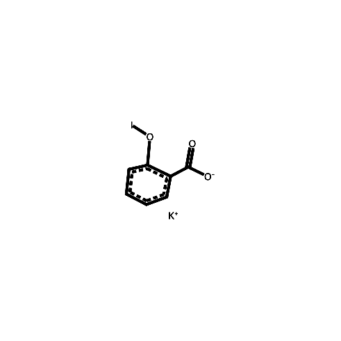 O=C([O-])c1ccccc1OI.[K+]